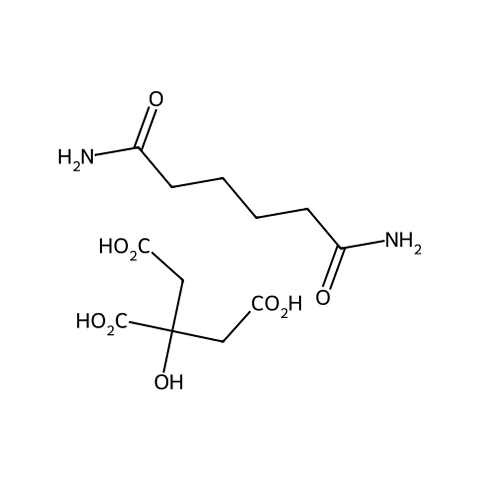 NC(=O)CCCCC(N)=O.O=C(O)CC(O)(CC(=O)O)C(=O)O